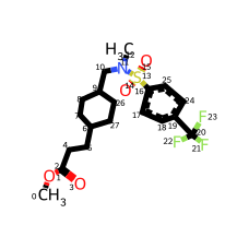 COC(=O)CCC1CCC(CN(C)S(=O)(=O)c2ccc(C(F)(F)F)cc2)CC1